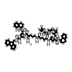 C[C@@H](C(=O)N[C@H](C(=O)N1C[C@@H](NC(=O)CCCC(=O)NCCC[C@H](N)C(=O)N2C[C@@H](NC(=O)OCC3c4ccccc4-c4ccccc43)C[C@H]2C(=O)N[C@@H]2CCCc3ccccc32)C[C@H]1C(=O)N[C@@H]1CCCc2ccccc21)C(C)(C)C)N(C)C(=O)OC(C)(C)C